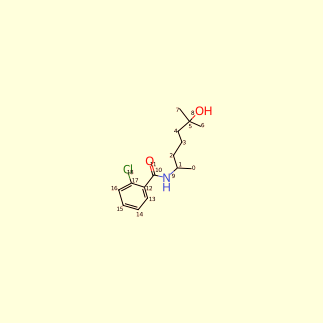 CC(CCCC(C)(C)O)NC(=O)c1ccccc1Cl